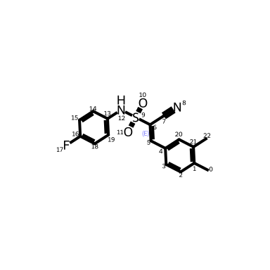 Cc1ccc(/C=C(\C#N)S(=O)(=O)Nc2ccc(F)cc2)cc1C